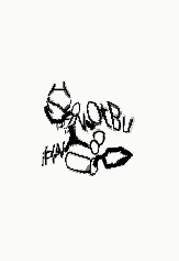 CC(C)NC(=O)C(OC(=O)c1ccccc1)[C@H](C[C@@H]1CCNC1=O)NC(=O)OC(C)(C)C